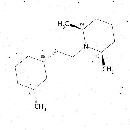 C[C@@H]1CCC[C@H](CCN2[C@H](C)CCC[C@@H]2C)C1